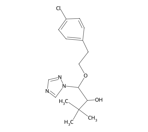 CC(C)(C)C(O)C(OCCc1ccc(Cl)cc1)n1cncn1